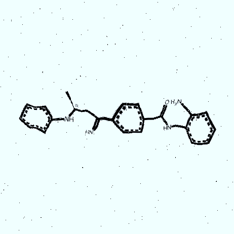 C[C@@H](CC(=N)c1ccc(C(=O)Nc2ccccc2N)cc1)Nc1ccccc1